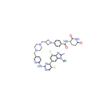 Cc1nc2c(F)cc(-c3nc(Nc4ccc(CN5CCN(CC6CN(c7ccc(C(=O)NC8CCC(=O)NC8=O)cc7)C6)CC5)cn4)ncc3F)cc2n1C(C)C